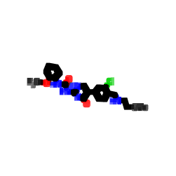 CSCCNCc1ccc(-c2c[nH]c(NC(=O)Nc3ccccc3OC(F)(F)F)nc2=O)cc1Cl